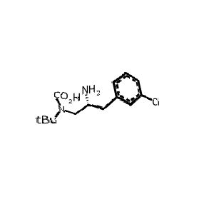 CC(C)(C)N(C[C@H](N)Cc1cccc(Cl)c1)C(=O)O